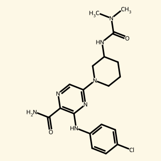 CN(C)C(=O)NC1CCCN(c2cnc(C(N)=O)c(Nc3ccc(Cl)cc3)n2)C1